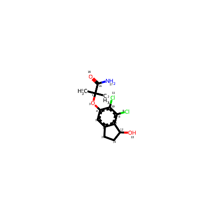 CC(C)(Oc1cc2c(c(Cl)c1Cl)C(O)CC2)C(N)=O